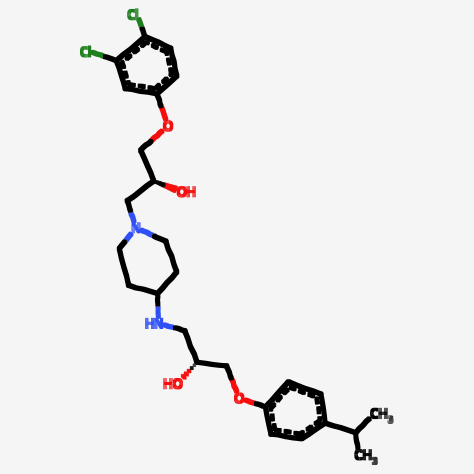 CC(C)c1ccc(OC[C@H](O)CNC2CCN(C[C@H](O)COc3ccc(Cl)c(Cl)c3)CC2)cc1